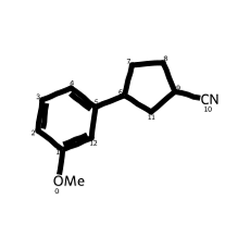 COc1cccc(C2CCC(C#N)C2)c1